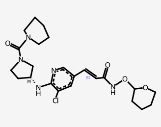 O=C(/C=C/c1cnc(N[C@@H]2CCN(C(=O)N3CCCCC3)C2)c(Cl)c1)NOC1CCCCO1